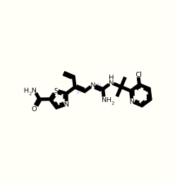 C=C/C(=C\N=C(/N)NC(C)(C)c1ncccc1Cl)c1ncc(C(N)=O)s1